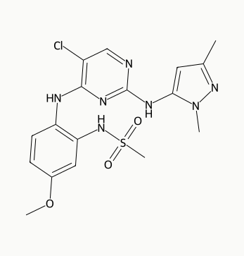 COc1ccc(Nc2nc(Nc3cc(C)nn3C)ncc2Cl)c(NS(C)(=O)=O)c1